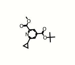 COC(=O)c1cc(C(=O)OC(C)(C)C)cc(C2CC2)n1